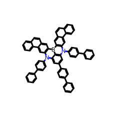 c1ccc(-c2ccc(-c3cc4c5c(c3)N(c3ccc(-c6ccccc6)cc3)c3cc6c(ccc7ccccc76)cc3B5c3cc5ccc6ccccc6c5cc3N4c3ccc(-c4ccccc4)cc3)cc2)cc1